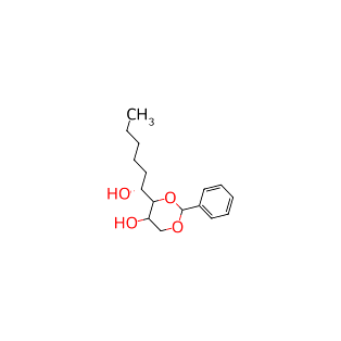 CCCCC[C@@H](O)C1OC(c2ccccc2)OCC1O